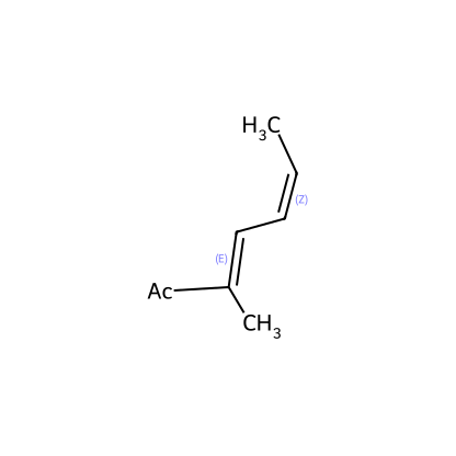 C/C=C\C=C(/C)C(C)=O